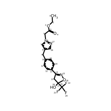 CCOC(=O)Cn1cc(Cc2ccc(C3=NOC(O)(C(F)(F)F)C3)cc2)cn1